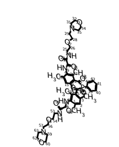 Cc1cc(C)c(C(=O)P(=O)(C(=O)c2c(C)cc(C)c(NC(=O)C(=O)NCCOCCN3CCOCC3)c2C)c2ccccc2)c(C)c1NC(=O)C(=O)NCCOCCN1CCOCC1